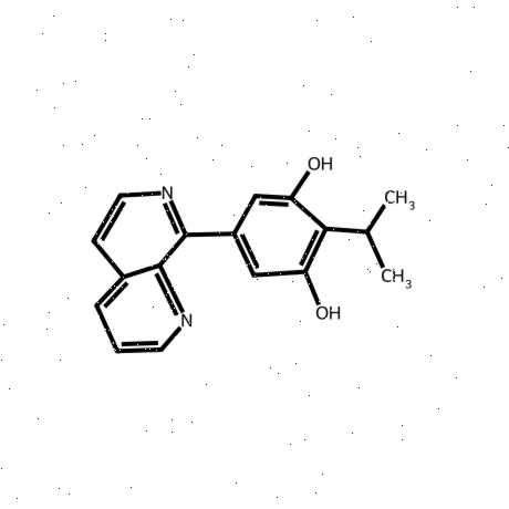 CC(C)c1c(O)cc(-c2nccc3cccnc23)cc1O